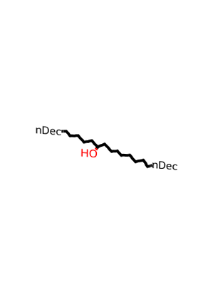 CCCCCCCCCCCCCCCCCCC(O)CCCCCCCCCCCCCCC